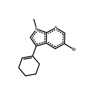 Cn1cc(C2=CCCCC2)c2cc(Br)cnc21